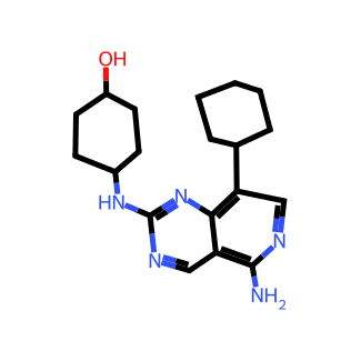 Nc1ncc(C2CCCCC2)c2nc(NC3CCC(O)CC3)ncc12